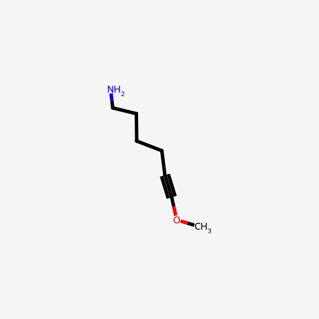 COC#CCCCCN